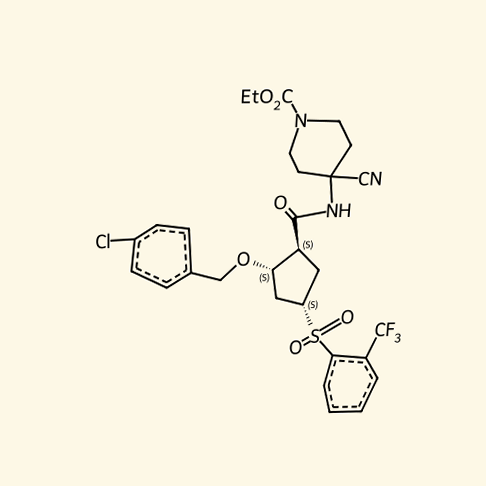 CCOC(=O)N1CCC(C#N)(NC(=O)[C@H]2C[C@H](S(=O)(=O)c3ccccc3C(F)(F)F)C[C@@H]2OCc2ccc(Cl)cc2)CC1